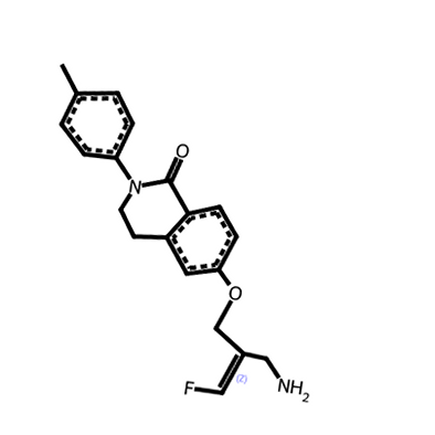 Cc1ccc(N2CCc3cc(OC/C(=C\F)CN)ccc3C2=O)cc1